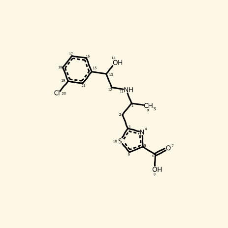 CC(Cc1nc(C(=O)O)cs1)NCC(O)c1cccc(Cl)c1